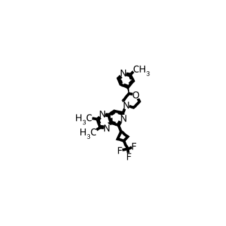 Cc1cc([C@@H]2CN(c3cc4nc(C)c(C)nc4c(C4CC(C(F)(F)F)C4)n3)CCO2)ccn1